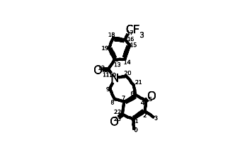 CC1=C(C)C(=O)C2=C(CCN(C(=O)c3ccc(C(F)(F)F)cc3)CC2)C1=O